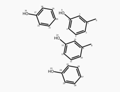 Cc1cccc(O)c1.Cc1cccc(O)c1.Oc1ccccc1.Oc1ccccc1